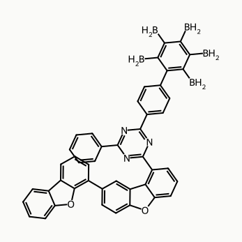 Bc1c(B)c(B)c(-c2ccc(-c3nc(-c4ccccc4)nc(-c4cccc5oc6ccc(-c7cccc8c7oc7ccccc78)cc6c45)n3)cc2)c(B)c1B